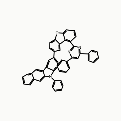 c1ccc(-c2cc(-c3ccccc3)nc(-c3cccc4oc5ccc(-c6ccc7c(c6)c6cc8ccccc8cc6n7-c6ccccc6)cc5c34)n2)cc1